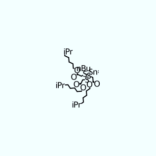 CCC[CH2][Sn][S](CC(=O)OCCCCCC(C)C)(SCC(=O)OCCCCCC(C)C)SCC(=O)OCCCCCC(C)C